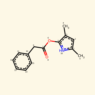 Cc1cc(C)c(OC(=O)Cc2ccccc2)[nH]1